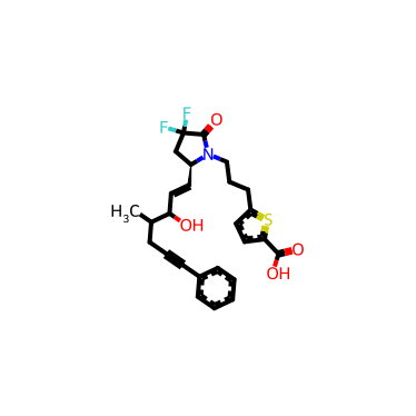 CC(CC#Cc1ccccc1)C(O)/C=C/[C@H]1CC(F)(F)C(=O)N1CCCc1ccc(C(=O)O)s1